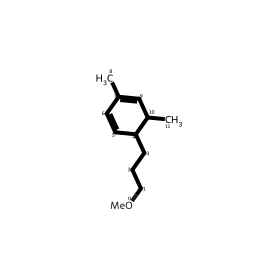 COCCCC1C=CC(C)=CC1C